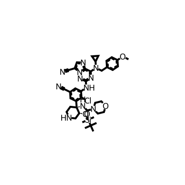 COc1ccc(CN(c2nc(Nc3cc(C#N)cc([C@]4(NC(=O)N5CCOCC5)CCNC[C@H]4O[Si](C)(C)C(C)(C)C)c3Cl)nn3c(C#N)cnc23)C2CC2)cc1